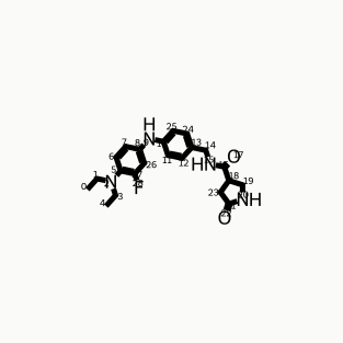 CCN(CC)c1ccc(Nc2ccc(CNC(=O)C3CNC(=O)C3)cc2)cc1F